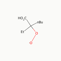 CCCCC(CC)(O[O])C(=O)O